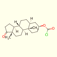 C[C@]12CC[C@H](OC(=O)Cl)C[C@@H]1CC[C@@H]1[C@@H]2CC[C@]2(C)C(=O)CC[C@@H]12